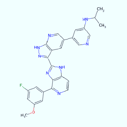 COc1cc(F)cc(-c2nccc3[nH]c(-c4n[nH]c5ncc(-c6cncc(NC(C)C)c6)cc45)nc23)c1